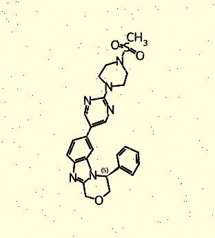 CS(=O)(=O)N1CCN(c2ncc(-c3ccc4nc5n(c4c3)[C@@H](c3ccccc3)COC5)cn2)CC1